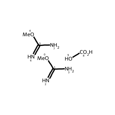 COC(=N)N.COC(=N)N.O=C(O)O